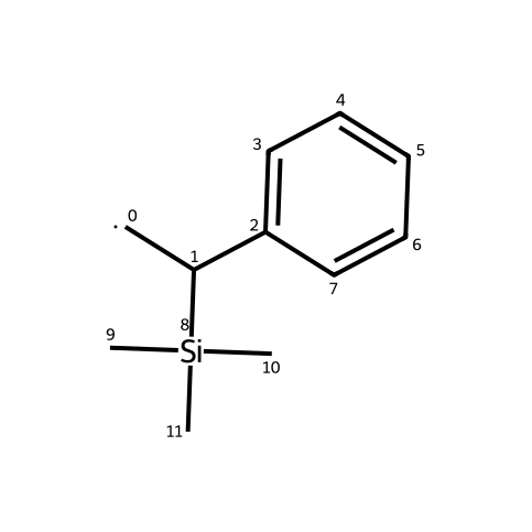 [CH2]C(c1ccccc1)[Si](C)(C)C